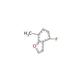 Cc1ccc(F)c2ccoc12